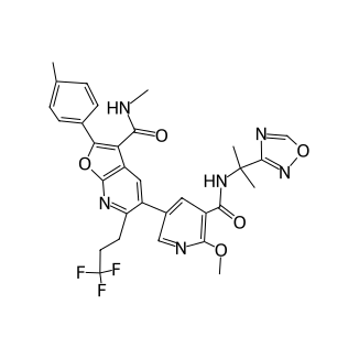 CNC(=O)c1c(-c2ccc(C)cc2)oc2nc(CCC(F)(F)F)c(-c3cnc(OC)c(C(=O)NC(C)(C)c4ncon4)c3)cc12